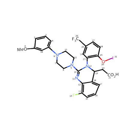 COc1cccc(N2CCN(C3=Nc4c(F)cccc4C(CC(=O)O)N3c3cc(C(F)(F)F)ccc3OI)CC2)c1